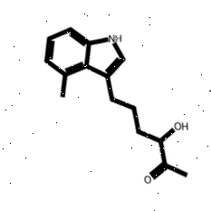 CC(=O)C(O)CCCc1c[nH]c2cccc(C)c12